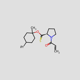 C=CC(=O)N1CCC[C@@H]1C(=S)OC1(C)CCC(C(C)C)CC1